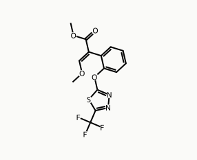 CO/C=C(/C(=O)OC)c1ccccc1Oc1nnc(C(F)(F)F)s1